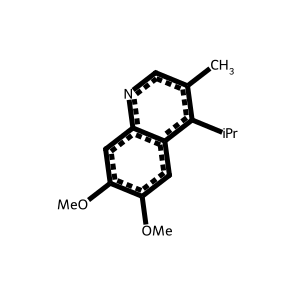 COc1cc2ncc(C)c(C(C)C)c2cc1OC